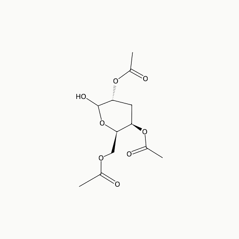 CC(=O)OC[C@H]1OC(O)[C@H](OC(C)=O)C[C@H]1OC(C)=O